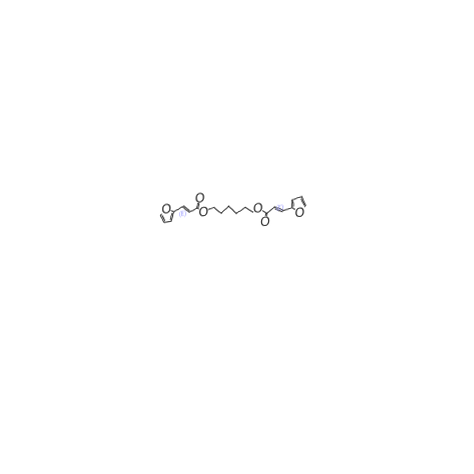 O=C(/C=C/c1ccco1)OCCCCCCOC(=O)/C=C/c1ccco1